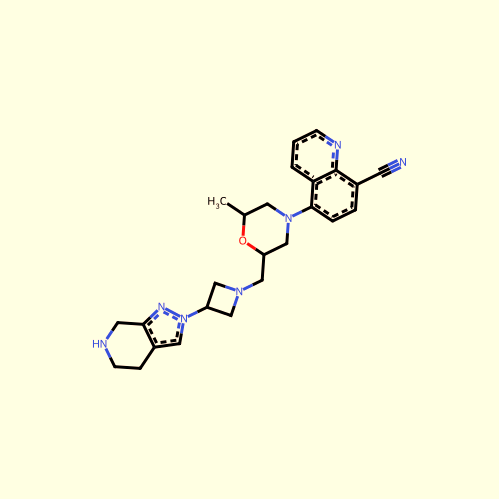 CC1CN(c2ccc(C#N)c3ncccc23)CC(CN2CC(n3cc4c(n3)CNCC4)C2)O1